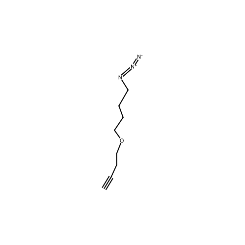 C#CCCOCCCCN=[N+]=[N-]